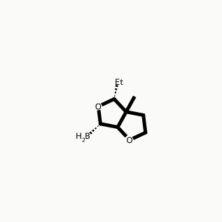 B[C@@H]1O[C@H](CC)C2(C)CCOC12